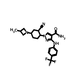 CC1CN(C2CCC(n3cc(C(N)=O)c(Nc4ccc(C(F)(F)F)cc4)n3)C(C#N)C2)C1